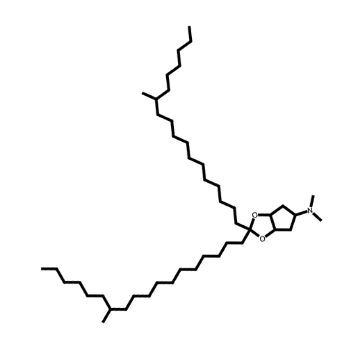 CCCCCCC(C)CCCCCCCCCCCC1(CCCCCCCCCCCC(C)CCCCCC)OC2CC(N(C)C)CC2O1